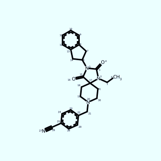 CCN1C(=O)N(C2Cc3ccccc3C2)C(=O)C12CCN(Cc1ccc(C#N)cc1)CC2